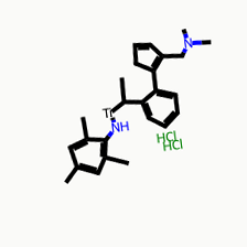 Cc1cc(C)c([NH][Ti][CH](C)c2ccccc2C2=C(CN(C)C)C=CC2)c(C)c1.Cl.Cl